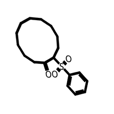 O=C1CCCCCCCCCCC1S(=O)(=O)c1ccccc1